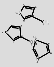 Cc1ccsc1.Cc1ccsc1.c1cscn1